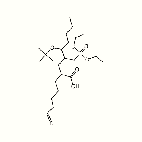 CCCCC(OC(C)(C)C)C(CC(CCCCC=O)C(=O)O)CP(=O)(OCC)OCC